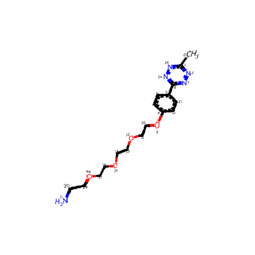 Cc1nnc(-c2ccc(OCCOCCOCCOCCN)cc2)nn1